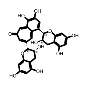 O=c1cc([C@H]2Oc3cc(O)cc(O)c3C[C@H]2O)cc2c([C@H]3Oc4cc(O)cc(O)c4C[C@H]3O)cc(O)c(O)c2c1